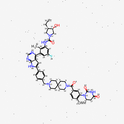 COc1ccc(C(=O)N2CCC3(CCN(Cc4ccc(-c5cc6c(-c7cc(F)cc(NC(=O)N8C[C@@H](CC(C)C)[C@@H](O)C8)c7C)ncnc6[nH]5)cc4)CC3)CC2)cc1N1CCC(=O)NC1=O